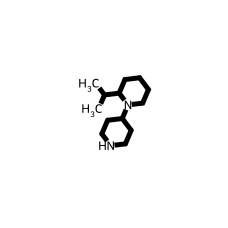 CC(C)C1CCCCN1C1CCNCC1